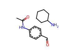 CC(=O)Nc1ccc(C=O)cc1.NC1CCCCC1